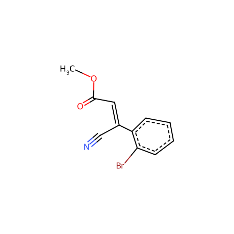 COC(=O)C=C(C#N)c1ccccc1Br